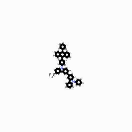 FC(F)(F)c1ccc2c(c1)c1cc(-c3ccc4c(c3)c3ccccc3n4-c3ccccc3)ccc1n2-c1ccc(-c2c3ccccc3c(-c3ccccc3)c3ccccc23)cc1